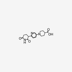 O=C1CCC(c2ccc(N3CCC(C(=O)O)CC3)cn2)C(=O)N1